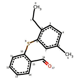 CCc1ccc(C)cc1Sc1ccccc1C=O